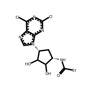 CCC(=O)N[C@H]1C[C@@H](n2cnc3c(Cl)nc(Cl)nc32)C(O)C1O